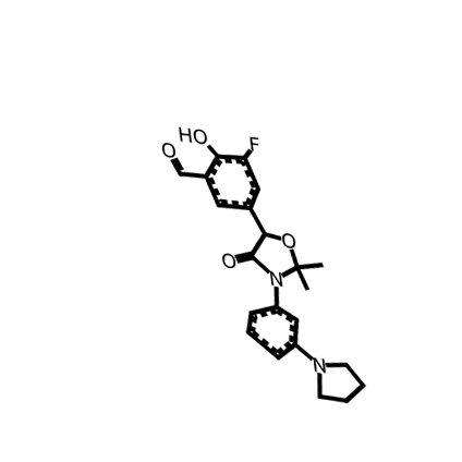 CC1(C)OC(c2cc(F)c(O)c(C=O)c2)C(=O)N1c1cccc(N2CCCC2)c1